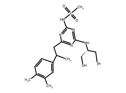 Cc1ccc(C(C)Cc2nc(N[C@@H](CO)CC(C)C)nc(NS(C)(=O)=O)n2)cc1C